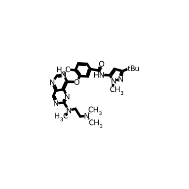 Cc1ccc(C(=O)Nc2cc(C(C)(C)C)nn2C)cc1Oc1ncnc2cnc(N(C)CCN(C)C)nc12